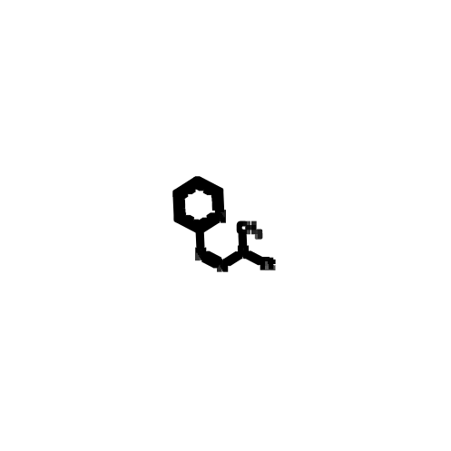 CCN(C)/N=N\c1ccccn1